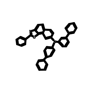 c1ccc(-c2ccc(N(c3cccc(-c4ccccc4)c3)c3ccc4ccc5nc(-c6ccccc6)oc5c4c3)cc2)cc1